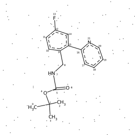 CC(C)(C)OC(=O)NCc1ccc(F)cc1-c1ccccn1